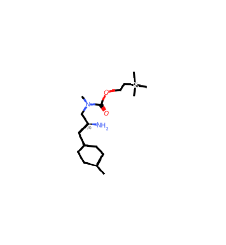 CC1CCC(C[C@H](N)CN(C)C(=O)OCC[Si](C)(C)C)CC1